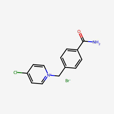 NC(=O)c1ccc(C[n+]2ccc(Cl)cc2)cc1.[Br-]